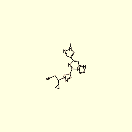 C#CCC(C1CC1)n1cc(-c2nc(-c3cnn(C)c3)cc3nccn23)cn1